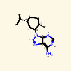 CC(C)[C@@H]1CC[C@@H](C)[C@@H](n2nnc3c(N)ncnc32)C1